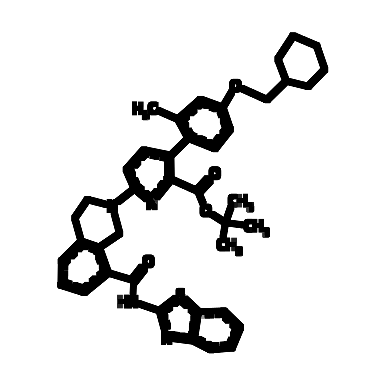 Cc1cc(OCC2CCCCC2)ccc1-c1ccc(N2CCc3cccc(C(=O)Nc4nc5ccccc5s4)c3C2)nc1C(=O)OC(C)(C)C